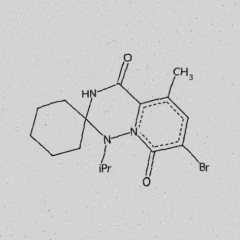 Cc1cc(Br)c(=O)n2c1C(=O)NC1(CCCCC1)N2C(C)C